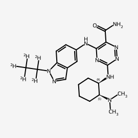 [2H]C([2H])([2H])C([2H])([2H])n1ncc2cc(Nc3nc(N[C@@H]4CCCC[C@@H]4N(C)C)nnc3C(N)=O)ccc21